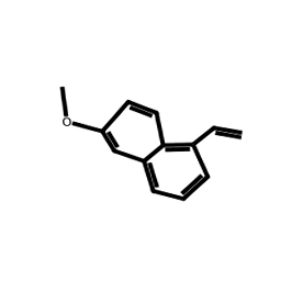 C=Cc1cccc2cc(OC)ccc12